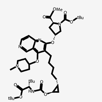 COC(=O)[C@@H]1C[C@@H](Oc2nc3ccncc3c(OC3CCN(C)CC3)c2CCCCC[C@@H]2C[C@H]2OC(=O)N[C@H](C(=O)OC(C)(C)C)C(C)(C)C)CN1C(=O)OC(C)(C)C